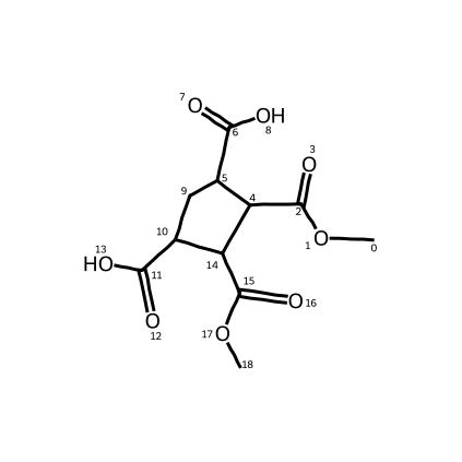 COC(=O)C1C(C(=O)O)CC(C(=O)O)C1C(=O)OC